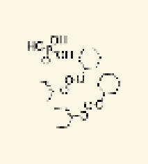 CC=C(CC)OOOC1CCCCC1.CC=C(CC)OOOC1CCCCC1.O=P(O)(O)O